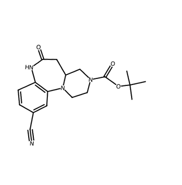 CC(C)(C)OC(=O)N1CCN2c3cc(C#N)ccc3NC(=O)CC2C1